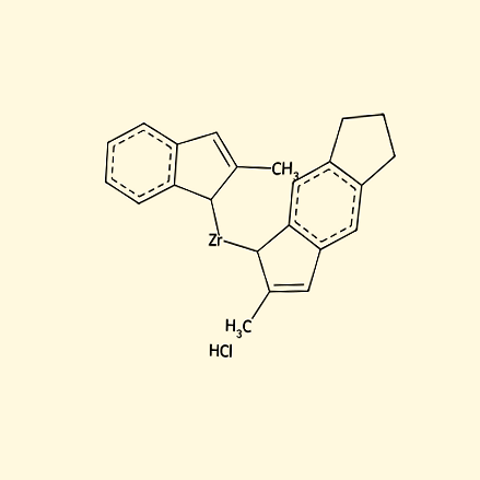 CC1=Cc2ccccc2[CH]1[Zr][CH]1C(C)=Cc2cc3c(cc21)CCC3.Cl